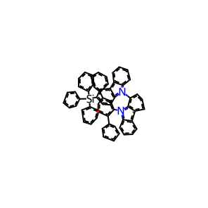 c1ccc(-c2ccc(-c3ccccc3)c(-n3c4ccccc4c4cccc(-n5c6ccccc6c6cc([Si](c7ccccc7)(c7ccccc7)c7ccccc7)ccc65)c43)c2)cc1